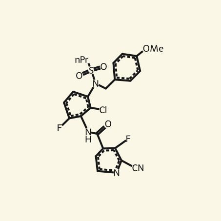 CCCS(=O)(=O)N(Cc1ccc(OC)cc1)c1ccc(F)c(NC(=O)c2ccnc(C#N)c2F)c1Cl